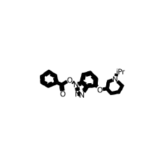 CC(C)N1CCCC(Oc2cccc3c2nnn3OC(=O)c2ccccc2)C1